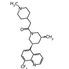 C[C@H]1C[C@@H](c2ccc(C(F)(F)F)c3ncccc23)CN(C(=O)CC2CCN(C)CC2)C1